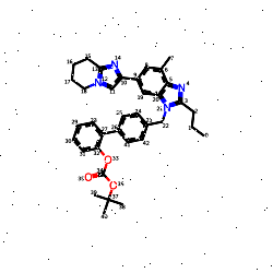 CCCc1nc2c(C)cc(-c3cn4c(n3)CCCC4)cc2n1Cc1ccc(-c2ccccc2OC(=O)OC(C)(C)C)cc1